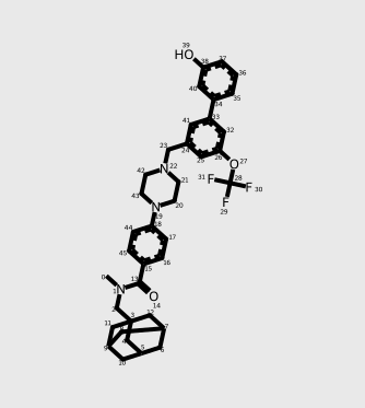 CN(CC12CC3CC(CC(C3)C1)C2)C(=O)c1ccc(N2CCN(Cc3cc(OC(F)(F)F)cc(-c4cccc(O)c4)c3)CC2)cc1